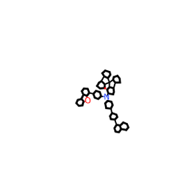 c1ccc2c(c1)-c1ccccc1C21c2ccccc2-c2ccc(N(c3ccc(-c4ccc(-c5cccc6ccccc56)cc4)cc3)c3ccc(-c4cccc5c4oc4ccccc45)cc3)cc21